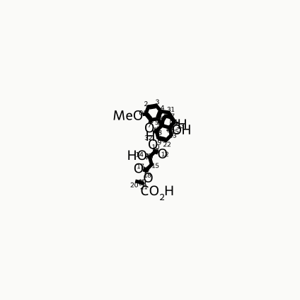 COc1ccc2c3c1O[C@H]1C(OC(=O)[C@@H](O)CC(=O)O[C@@H](C)C(=O)O)=CC[C@@]4(O)[C@H](CCCC314)C2